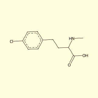 CNC(CCc1ccc(Cl)cc1)C(=O)O